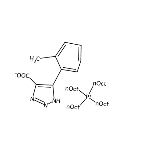 CCCCCCCC[P+](CCCCCCCC)(CCCCCCCC)CCCCCCCC.Cc1ccccc1-c1[nH]nnc1C(=O)[O-]